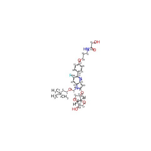 C[Si](C)(C)CCOCn1c(O[C@@H]2CO[C@H]3[C@@H]2OC[C@H]3O)cc2nc(-c3ccc(OCCCNC(=O)CO)cc3)c(F)cc21